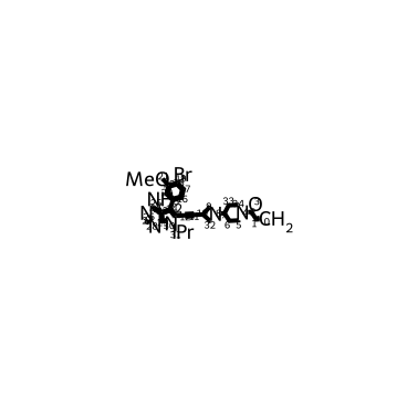 C=CC(=O)N1CCC(N2CC(C#Cc3c(-c4ccc(Br)c(OC)c4)c4c(N)ncnc4n3C(C)C)C2)CC1